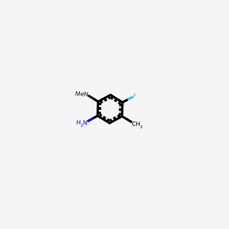 CNc1cc(F)c(C)cc1N